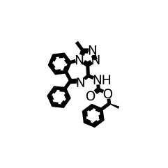 Cc1nnc2n1-c1ccccc1C(c1ccccc1)=NC2NC(=O)O[C@@H](C)c1ccccc1